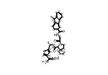 C[C@@H](NC(=O)C1N(C(=O)CNC(=O)c2ccc3c(c2)-c2ccccc2C3F)CCC12OCCO2)c1cc(C(=N)N)cs1